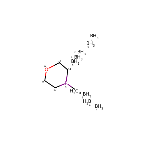 B.B.B.B.B.B.B.B.CP1CCOCC1